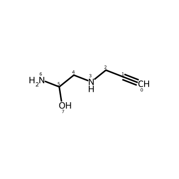 C#CCNCC(N)O